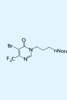 CCCCCCCCCCCCn1cnc(C(F)(F)F)c(Br)c1=O